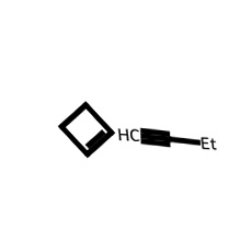 C#CCC.C1=CCC1